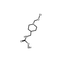 CCOCN1CCC(CNC(=O)OC(C)(C)C)CC1